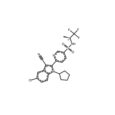 C[C@H](NS(=O)(=O)c1ccc(-c2c(C#N)c3cc(Cl)ccc3n2C2CCCC2)nc1)C(F)(F)F